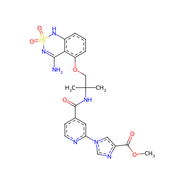 COC(=O)c1cn(-c2cc(C(=O)NC(C)(C)COc3cccc4c3C(N)=NS(=O)(=O)N4)ccn2)cn1